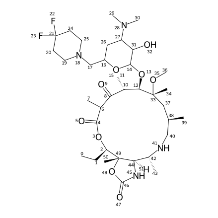 CC[C@H]1OC(=O)C(C)C(=O)[C@H](C)[C@@H](OC2OC(CN3CCC(F)(F)CC3)CC(N(C)C)C2O)[C@](C)(OC)C[C@@H](C)CN[C@H](C)[C@H]2NC(=O)O[C@@]21C